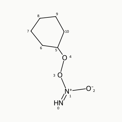 N=[N+]([O-])OOC1CCCCC1